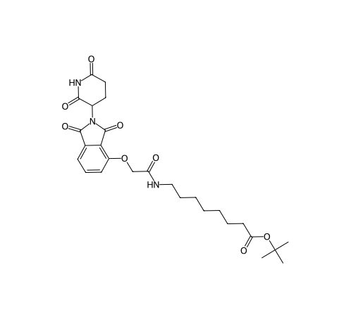 CC(C)(C)OC(=O)CCCCCCCNC(=O)COc1cccc2c1C(=O)N(C1CCC(=O)NC1=O)C2=O